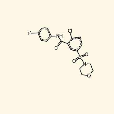 O=C(Nc1ccc(F)cc1)c1cc(S(=O)(=O)N2CCOCC2)ccc1Cl